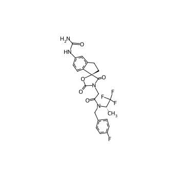 C[C@H](N(Cc1ccc(F)cc1)C(=O)CN1C(=O)O[C@@]2(CCc3cc(NC(N)=O)ccc32)C1=O)C(F)(F)F